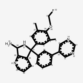 Cc1cc(C2(c3cccc(-c4cncnc4)c3)NC(N)c3ncccc32)cc(C)c1OCF